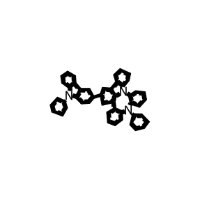 c1ccc(-n2c3ccccc3c3cc(-c4cc5c6ccccc6n(-c6ccccc6)c6ccccc6n6c7ccccc7c(c4)c56)ccc32)cc1